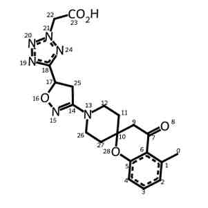 Cc1cccc2c1C(=O)CC1(CCN(C3=NOC(c4nnn(CC(=O)O)n4)C3)CC1)O2